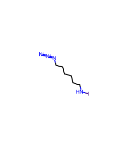 [N-]=[N+]=NCCCCCCNI